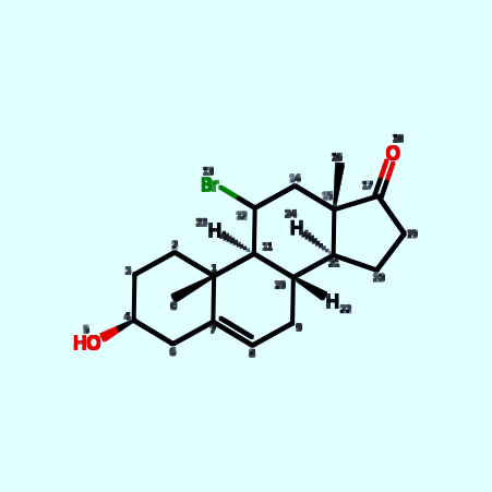 C[C@]12CC[C@H](O)CC1=CC[C@@H]1[C@@H]2C(Br)C[C@]2(C)C(=O)CC[C@@H]12